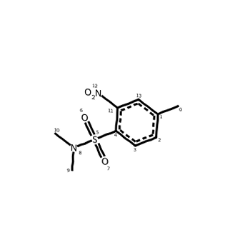 Cc1ccc(S(=O)(=O)N(C)C)c([N+](=O)[O-])c1